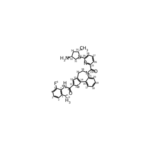 Cc1cccc(F)c1NC(=O)c1cc2c(s1)-c1ccccc1N(C(=O)c1cccc(N3C[C@@H](N)C[C@@H]3C)n1)CC2